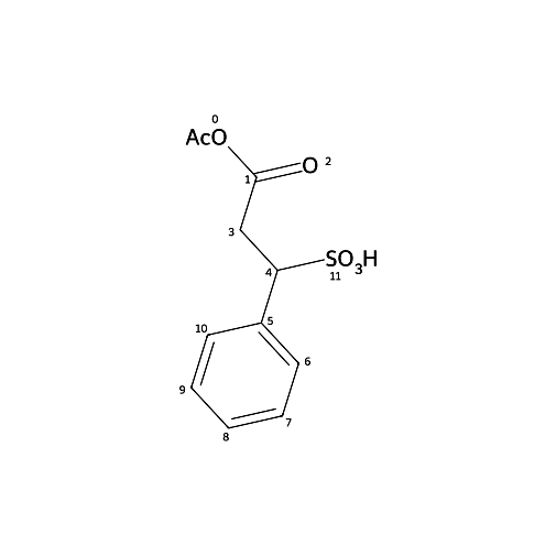 CC(=O)OC(=O)CC(c1ccccc1)S(=O)(=O)O